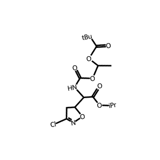 CC(C)OC(=O)C(NC(=O)OC(C)OC(=O)C(C)(C)C)C1CC(Cl)=NO1